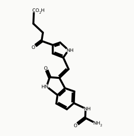 NC(=O)Nc1ccc2c(c1)C(=Cc1cc(C(=O)CCC(=O)O)c[nH]1)C(=O)N2